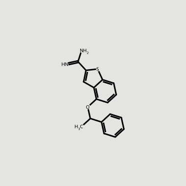 CC(Oc1cccc2sc(C(=N)N)cc12)c1ccccc1